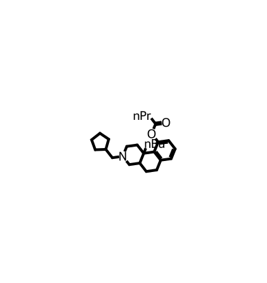 CCCCC12CCN(CC3CCCC3)CC1CCc1cccc(OC(=O)CCC)c12